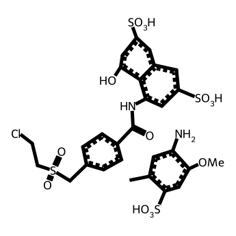 COc1cc(S(=O)(=O)O)c(C)cc1N.O=C(Nc1cc(S(=O)(=O)O)cc2cc(S(=O)(=O)O)cc(O)c12)c1ccc(CS(=O)(=O)CCCl)cc1